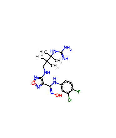 CC(C)(CNc1nonc1/C(=N/O)Nc1ccc(F)c(Br)c1)C(C)(C)NC(=N)N